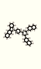 c1ccc2cc(-c3nc(-c4ccc(-n5c6ccccc6c6cc7ccccc7cc65)nc4)nc(-c4ccc5ccccc5c4)n3)ccc2c1